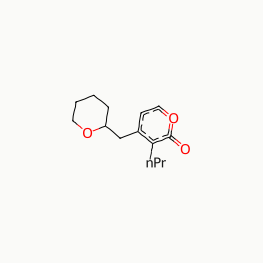 CCCc1c(CC2CCCCO2)ccoc1=O